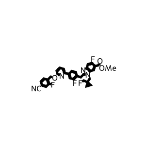 COC(=O)c1cc2c(cc1F)nc(Cc1ccc(-c3cccc(OCc4ccc(C#N)cc4F)n3)cc1F)n2CC1(CF)CC1